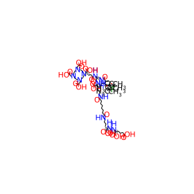 CC(C)(C)[Si](F)(c1ccc(C(=O)NC[C@@H](NC(=O)CC[C@@H](C(=O)O)N2CCN(CC(=O)O)CCN(CC(=O)O)CCN(CC(=O)O)CC2)C(=O)N[C@@H](CCCCNC(=O)CCCCCCC(=O)NCCCC[C@H](NC(=O)N[C@@H](CCCC(=O)O)C(=O)O)C(=O)O)C(=O)O)cc1)C(C)(C)C